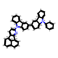 c1ccc(-n2c3ccccc3c3cc(-c4ccc5c(c4)c4ccccc4n5-c4ccc5c(n4)-c4cccc6cccc-5c46)ccc32)cc1